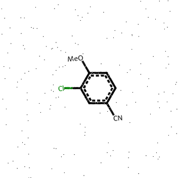 COc1ccc(C#N)cc1Cl